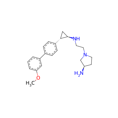 COc1cccc(-c2ccc([C@@H]3C[C@H]3NCCN3CC[C@@H](N)C3)cc2)c1